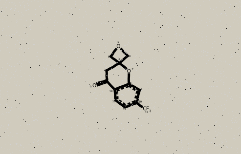 O=C1CC2(COC2)Oc2cc(C(F)(F)F)ccc21